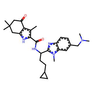 Cc1c(C(=O)NC(CCC2CC2)c2nc3ccc(CN(C)C)cc3n2C)[nH]c2c1C(=O)CC(C)(C)C2